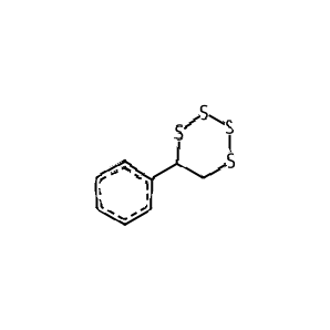 c1ccc(C2CSSSS2)cc1